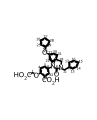 O=C(O)COc1ccc(NC(=O)N(Cc2ccccc2)Cc2ccc(Oc3ccccc3)cc2)cc1C(=O)O